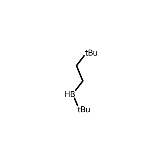 CC(C)(C)BCCC(C)(C)C